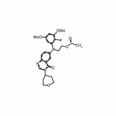 COc1cc(OC)c(F)c(N(CCOS(C)=O)c2ccc3ncn(C4CCOCC4)c(=O)c3c2)c1